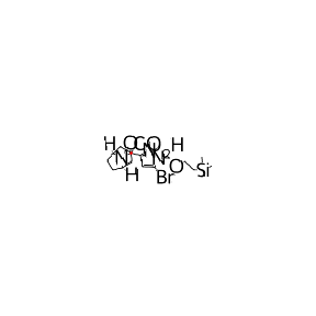 C[Si](C)(C)CCOCn1nc(C(=O)N2[C@@H]3CC[C@H]2C[C@H](C(=O)O)C3)cc1Br